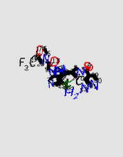 Cc1c(C(=O)N2CC(c3nn(CC(=O)N4CCO[C@@H](C(F)(F)F)C4)c4cncc(F)c34)C2)ccnc1N